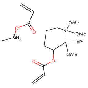 C=CC(=O)OC1CCC[Si](OC)(OC)C1(CCC)OC.C=CC(=O)O[SiH2]C